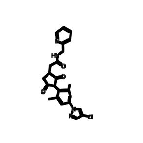 Cc1cc(-n2cc(Cl)cn2)cc(C)c1C1C(=O)CC(CC(=O)NCc2ccccn2)C1=O